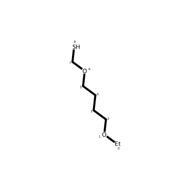 CCOCCCCOCS